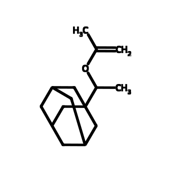 C=C(C)OC(C)C12CC3CC(CC(C3)C1)C2